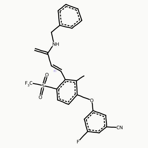 C=C(/C=C/c1c(S(=O)(=O)C(F)(F)F)ccc(Oc2cc(F)cc(C#N)c2)c1C)NCc1ccccc1